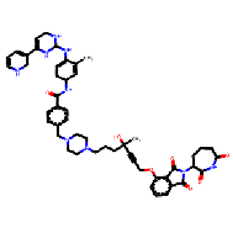 CC1=CC(NC(=O)c2ccc(CN3CCN(CCCC(C)(O)C#CCOc4cccc5c4C(=O)N(C4CCCC(=O)NC4=O)C5=O)CC3)cc2)CC=C1NC1NCC=C(C2=CC=CNC2)N1